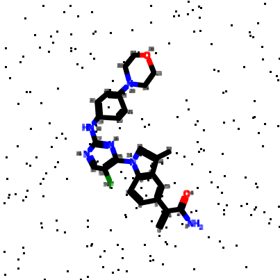 C=C(C(N)=O)c1ccc2c(c1)c(C)cn2-c1nc(Nc2ccc(N3CCOCC3)cc2)ncc1F